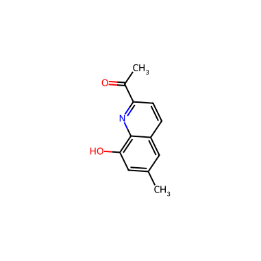 CC(=O)c1ccc2cc(C)cc(O)c2n1